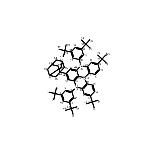 CC(C)(C)c1cc(N2c3cc(C(C)(C)C)ccc3B3c4ccc(C(C)(C)I)cc4N(c4cc(C(C)(C)C)cc(C(C)(C)C)c4)c4cc(C56CC7CC(CC(C7)C5)C6)cc2c43)cc(C(C)(C)C)c1